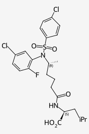 CC(C)C[C@H](NC(=O)CCC[C@@H](C)N(c1cc(Cl)ccc1F)S(=O)(=O)c1ccc(Cl)cc1)C(=O)O